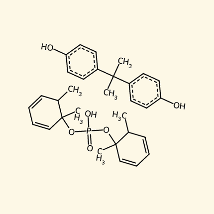 CC(C)(c1ccc(O)cc1)c1ccc(O)cc1.CC1C=CC=CC1(C)OP(=O)(O)OC1(C)C=CC=CC1C